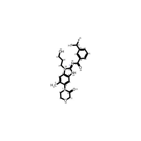 Cc1cc2c(cc1N1CCOCC1=O)[nH]/c(=N\C(=O)c1cccc(C(F)F)c1)n2CCCO